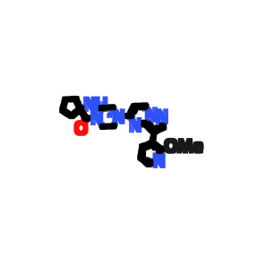 COc1ncccc1-c1cnn2ccc(N3CCN(C(=O)C4(N)CCCC4)CC3)nc12